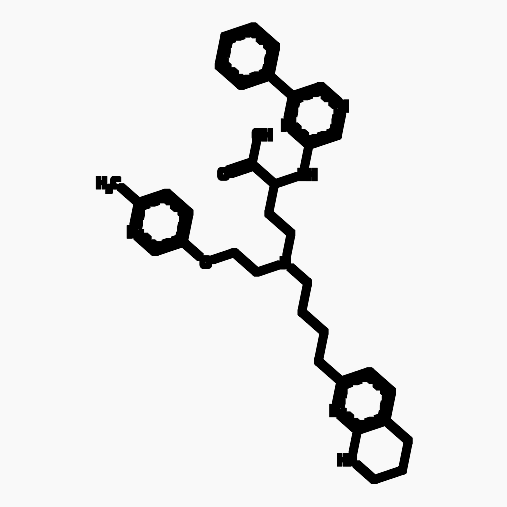 Cc1ccc(OCCN(CCCCc2ccc3c(n2)NCCC3)CCC(Nc2cncc(-c3ccccc3)n2)C(=O)O)cn1